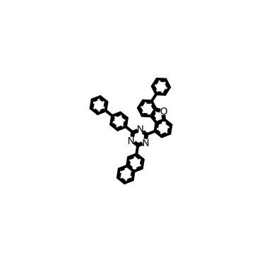 c1ccc(-c2ccc(-c3nc(-c4ccc5ccccc5c4)nc(-c4cccc5oc6c(-c7ccccc7)cccc6c45)n3)cc2)cc1